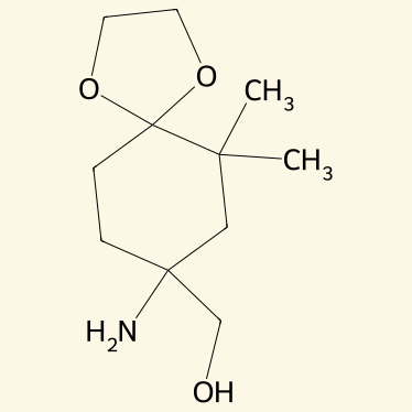 CC1(C)CC(N)(CO)CCC12OCCO2